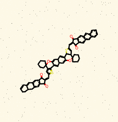 O=C1C(=CC2=CC3C(S2)C2=CC4C=C5OC6(CCCCC6)c6cc(/C=C7\C(=O)c8cc9c(cc8C7=O)CC7CCC=CC7=C9)sc6C5=CC4C=C2OC32CCCCC2)C(=O)c2cc3cc4ccccc4cc3cc21